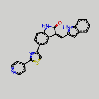 O=C1Nc2ccc(-c3csc(-c4ccncc4)n3)cc2/C1=C/c1cc2ccccc2[nH]1